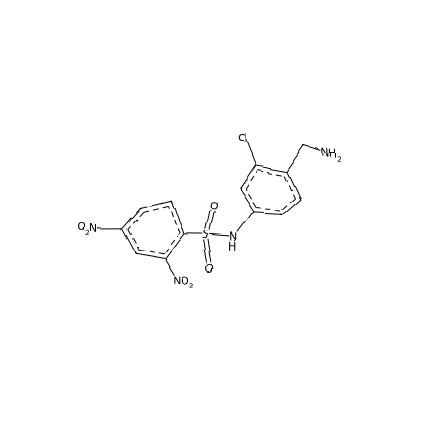 NCc1ccc(NS(=O)(=O)c2ccc([N+](=O)[O-])cc2[N+](=O)[O-])cc1Cl